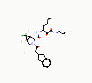 C=CCCC(NC(=O)[C@@H]1[C@@H]2[C@H](CN1C(=O)[C@@H](C)C1Cc3ccccc3C1)C2(Cl)Cl)C(=O)C(=O)NCC=C